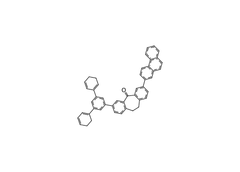 O=C1c2cc(-c3cc(C4=CCCC=C4)cc(C4=CC=CCC4)c3)ccc2CCc2ccc(-c3ccc4c(ccc5ccccc54)c3)cc21